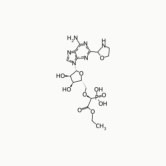 CCOC(=O)[C@@H](OC[C@H]1O[C@@H](n2cnc3c(N)nc(C4NCCO4)nc32)[C@H](O)[C@@H]1O)P(=O)(O)O